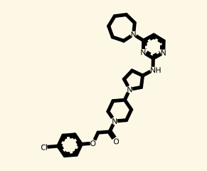 O=C(COc1ccc(Cl)cc1)N1CCC(N2CCC(Nc3nccc(N4CCCCCC4)n3)C2)CC1